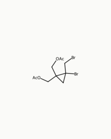 CC(=O)OCC1(COC(C)=O)CC1(Br)CBr